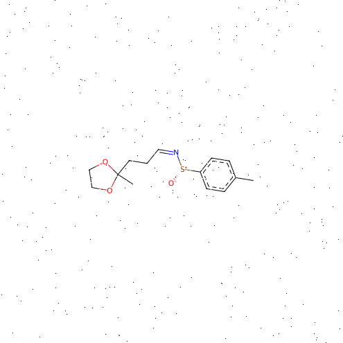 Cc1ccc([S@+]([O-])/N=C\CCC2(C)OCCO2)cc1